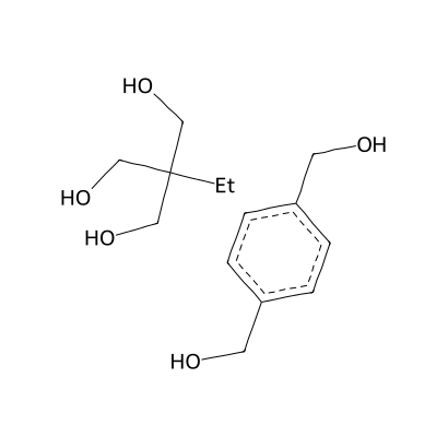 CCC(CO)(CO)CO.OCc1ccc(CO)cc1